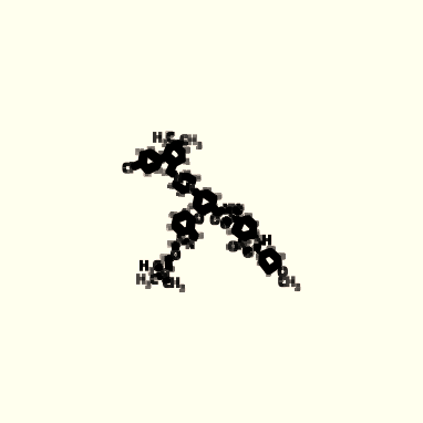 CO[C@H]1CC[C@H](CNc2ccc(S(=O)(=O)NC(=O)c3ccc(N4CCN(CC5=C(c6ccc(Cl)cc6)CC(C)(C)CC5)CC4)cc3Oc3cccc4c3cnn4COCC[Si](C)(C)C)cc2[N+](=O)[O-])CC1